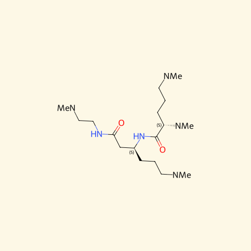 CNCCC[C@@H](CC(=O)NCCNC)NC(=O)[C@H](CCCNC)NC